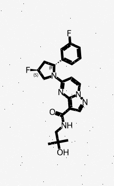 CC(C)(O)CNC(=O)c1cnn2ccc(N3C[C@@H](F)C[C@@H]3c3cccc(F)c3)nc12